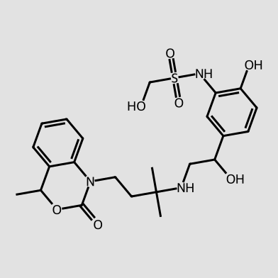 CC1OC(=O)N(CCC(C)(C)NCC(O)c2ccc(O)c(NS(=O)(=O)CO)c2)c2ccccc21